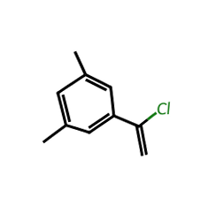 C=C(Cl)c1cc(C)cc(C)c1